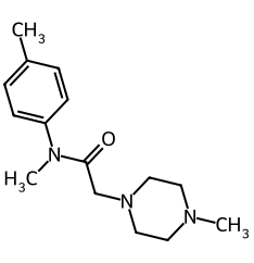 Cc1ccc(N(C)C(=O)CN2CCN(C)CC2)cc1